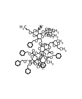 C=CCOC(=O)O[C@@H]1C(N=[N+]=[N-])[C@H](O[Si](C)(C)C(C)(C)C(C)C)OC(CO[C@@H]2OC(CO[C@]3(C(=O)OCc4ccccc4)C[C@H]4OC(C)(C)O[C@H]4C([C@@H](COCc4ccccc4)OCc4ccccc4)O3)[C@@H](OP3(=O)OCc4ccccc4CO3)[C@H](OC(=O)C[C@@H](CC)OCc3ccccc3)C2NC(=O)C[C@@H](CC)OC(=O)CC)[C@H]1OCc1ccccc1